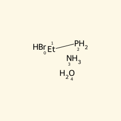 Br.CCP.N.O